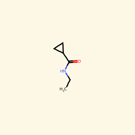 CCNC(=O)C1CC1